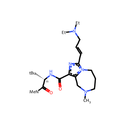 CCN(CC)CC=Cc1nc(C(=O)N[C@H](C(=O)NC)C(C)(C)C)c2n1CCCN(C)C2